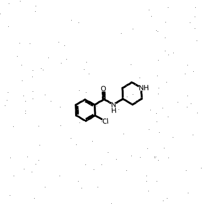 O=C(NC1CCNCC1)c1ccccc1Cl